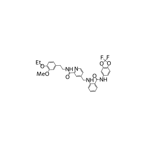 CCOc1ccc(CCNC(=O)c2cc(CNc3ccccc3C(=O)Nc3ccc4c(c3)OC(F)(F)O4)ccn2)cc1OC